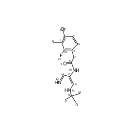 Cc1c(Br)ccc(CC(=O)N/C(C=N)=C/NC(C)(C)C)c1F